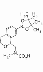 CN(CC1OCCc2ccc(B3OC(C)(C)C(C)(C)O3)cc21)C(=O)O